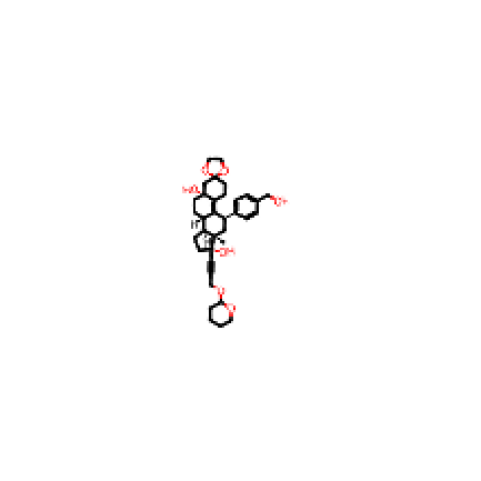 C[C@]12C[C@H](c3ccc(CO)cc3)C3=C4CCC5(C[C@]4(O)CC[C@H]3[C@@H]1CC[C@@]2(O)C#CCOC1CCCCO1)OCCO5